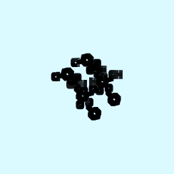 O=c1cc(CNS(=O)(=O)c2cccc(Cl)c2)oc(CO)c1OCc1ccccc1.O=c1cc(CNS(=O)(=O)c2cccc(Cl)c2)oc(CO)c1OCc1ccccc1